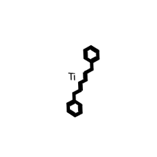 C(C=CCc1ccccc1)=CCc1ccccc1.[Ti]